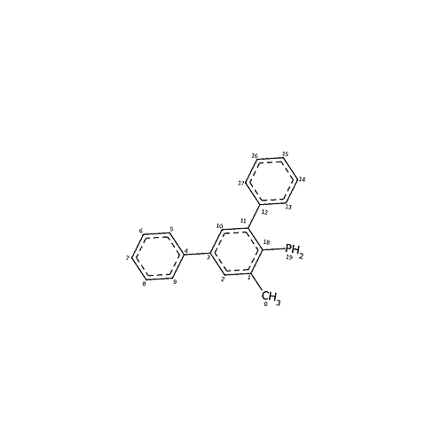 Cc1cc(-c2ccccc2)cc(-c2ccccc2)c1P